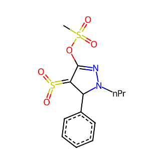 CCCN1N=C(OS(C)(=O)=O)C(=S(=O)=O)C1c1ccccc1